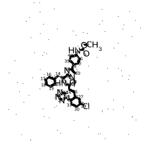 COC(=O)Nc1ccc(-c2c[nH]c([C@H](Cc3ccccc3)NC(=O)C=Cc3cc(Cl)ccc3-n3cnnn3)n2)cc1